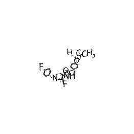 CC(C)COc1ccc(OC(=O)N[C@@H]2CCN(Cc3ccc(F)cc3)C[C@@H]2F)cc1